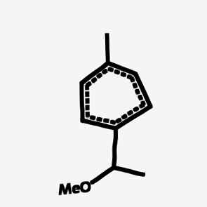 COC(C)c1ccc(C)cc1